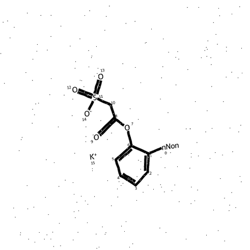 CCCCCCCCCc1ccccc1OC(=O)CS(=O)(=O)[O-].[K+]